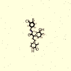 CC1C(=O)NCCN1CCC(C(=O)/C=C/c1ccc(F)c(Cl)c1)N1CC[C@H](C)[C@H](O)C1